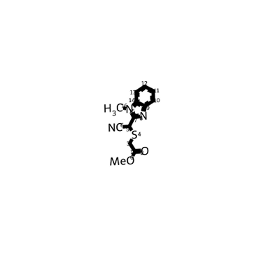 COC(=O)CSC(C#N)c1nc2ccccc2n1C